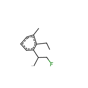 [CH2]C(CF)c1cccc(C)c1CC